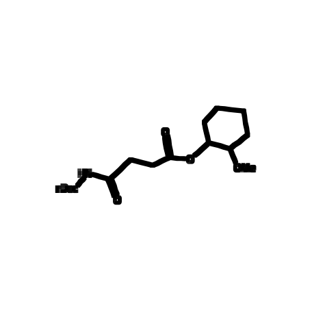 CCCCCCCCCCNC(=O)CCC(=O)OC1CCCCC1OC